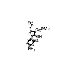 CCOC[C@H]1O[C@@H](n2ccc(N)nc2=O)[C@H](O)[C@@H]1OOOC